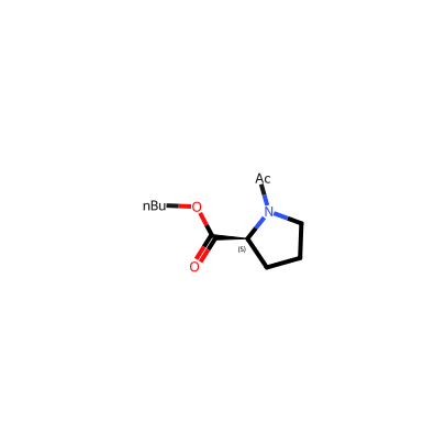 CCCCOC(=O)[C@@H]1CCCN1C(C)=O